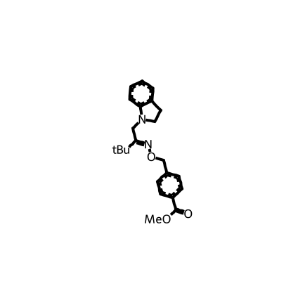 COC(=O)c1ccc(CON=C(CN2CCc3ccccc32)C(C)(C)C)cc1